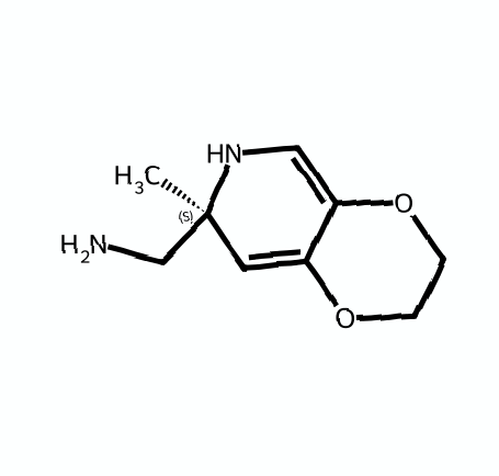 C[C@@]1(CN)C=C2OCCOC2=CN1